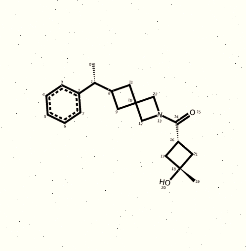 C[C@@H](c1ccccc1)C1CC2(C1)CN(C(=O)[C@H]1C[C@@](C)(O)C1)C2